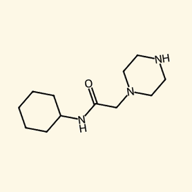 O=C(CN1CCNCC1)NC1CCCCC1